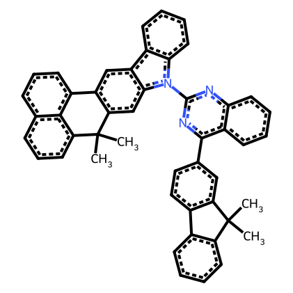 CC1(C)c2ccccc2-c2ccc(-c3nc(-n4c5ccccc5c5cc6c(cc54)C(C)(C)c4cccc5cccc-6c45)nc4ccccc34)cc21